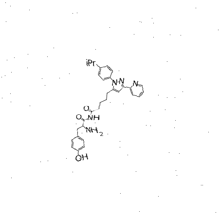 CC(C)c1ccc(-n2nc(-c3ccccn3)cc2CCCCC(=O)NC(=O)C(N)Cc2ccc(O)cc2)cc1